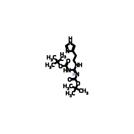 CC(C)(C)OC(=O)/N=C(/NCCc1c[nH]cn1)NC(=O)OC(C)(C)C